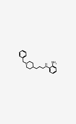 Nc1ccccc1NCCCC1CCN(Cc2ccccc2)CC1